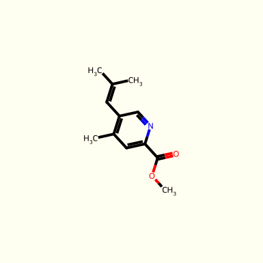 COC(=O)c1cc(C)c(C=C(C)C)cn1